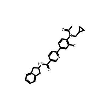 CC(=O)N(CC1CC1)c1ccc(-c2ccc(C(=O)NC3Cc4ccccc4C3)cn2)cc1Cl